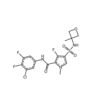 Cn1cc(S(=O)(=O)NC2(C)COC2)c(F)c1C(=O)Nc1cc(F)c(F)c(Cl)c1